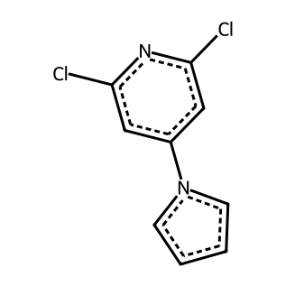 Clc1cc(-n2cccc2)cc(Cl)n1